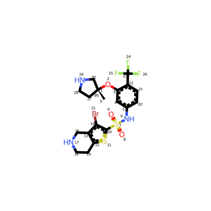 C[C@@]1(Oc2cc(NS(=O)(=O)c3sc4c(c3Br)CNCC4)ccc2C(F)(F)F)CCNC1